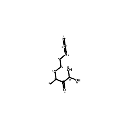 CC(OCCN=[N+]=[N-])C(=O)C(O)O